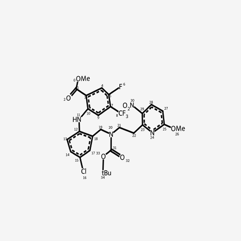 COC(=O)c1cc(F)c(C(F)(F)F)cc1Nc1ccc(Cl)cc1CN(CCc1nc(OC)ccc1[N+](=O)[O-])C(=O)OC(C)(C)C